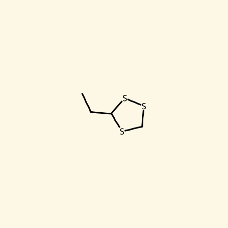 CCC1SCSS1